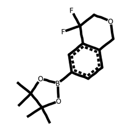 CC1(C)OB(c2ccc3c(c2)C(F)(F)COC3)OC1(C)C